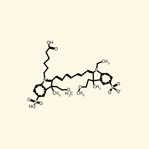 CCN1/C(=C/C=C/C=C/C=C/C2=[N+](CCCCCC(=O)O)c3ccc(S(=O)(=O)O)cc3C2(C)CCOC)C(C)(CCOC)c2cc(S(=O)(=O)[O-])ccc21